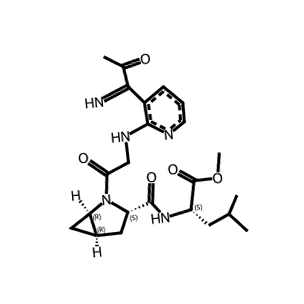 COC(=O)[C@H](CC(C)C)NC(=O)[C@@H]1C[C@H]2C[C@H]2N1C(=O)CNc1ncccc1C(=N)C(C)=O